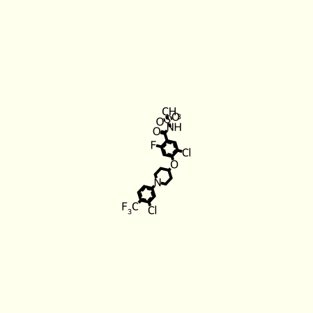 CS(=O)(=O)NC(=O)c1cc(Cl)c(OC2CCN(c3ccc(C(F)(F)F)c(Cl)c3)CC2)cc1F